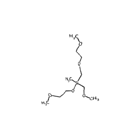 COCCOC[Si](C)(COC)OCCOC